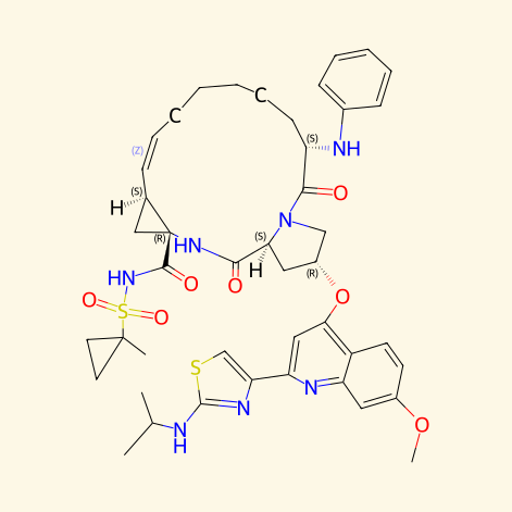 COc1ccc2c(O[C@@H]3C[C@H]4C(=O)N[C@]5(C(=O)NS(=O)(=O)C6(C)CC6)C[C@H]5/C=C\CCCCC[C@H](Nc5ccccc5)C(=O)N4C3)cc(-c3csc(NC(C)C)n3)nc2c1